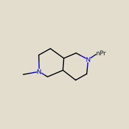 CCCN1CCC2CN(C)CCC2C1